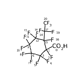 O=C(O)C1(F)C(F)(F)C(F)(F)C(F)(F)C(F)(F)C1(F)C(F)(F)C(F)(F)F